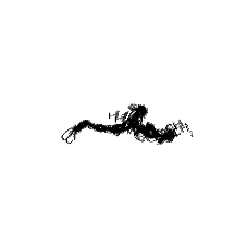 Cc1nccc(Oc2ccc(C[C@H](NC(=O)[C@@H]3Cc4cc5c(cc4CN3C(=O)N[C@H](C)c3ccccc3)O[C@@H](c3ccc(OCc4ccc(Cl)c(Cl)c4)cc3)CO5)C(=O)O)cc2)c1C